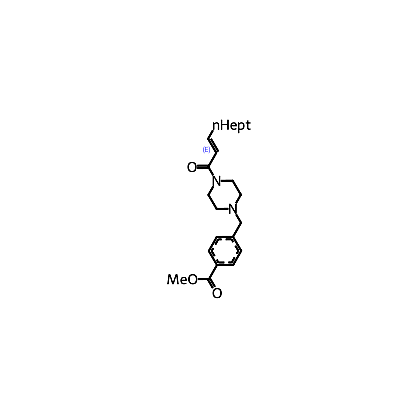 CCCCCCC/C=C/C(=O)N1CCN(Cc2ccc(C(=O)OC)cc2)CC1